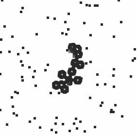 c1ccc(-c2oc(-c3cc4ccccc4c4ccccc34)c(-c3ccccc3)c2-c2ccc(-c3ccc(-c4ccc5ccc6cccnc6c5n4)c4ccccc34)cc2)cc1